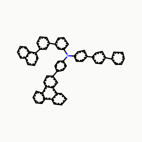 c1ccc(-c2ccc(-c3ccc(N(c4ccc(-c5ccc6c7ccccc7c7ccccc7c6c5)cc4)c4cccc(-c5cccc(-c6cccc7ccccc67)c5)c4)cc3)cc2)cc1